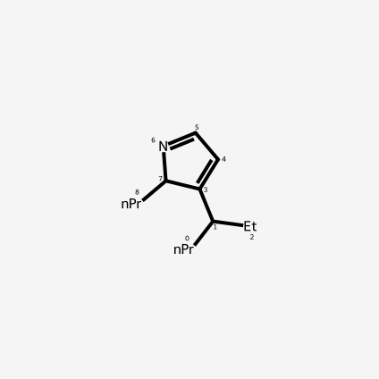 CCCC(CC)C1=CC=NC1CCC